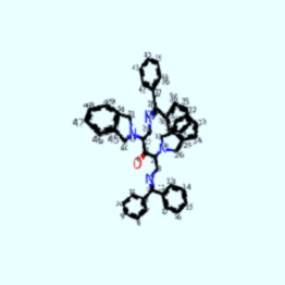 O=C(C(CN=C(c1ccccc1)c1ccccc1)N1Cc2ccccc2C1)C(CN=C(c1ccccc1)c1ccccc1)N1Cc2ccccc2C1